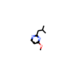 COc1c[c]nc(CC(C)C)n1